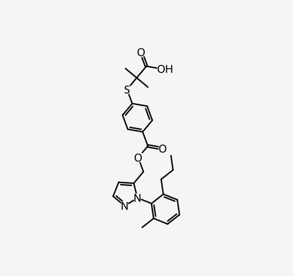 CCCc1cccc(C)c1-n1nccc1COC(=O)c1ccc(SC(C)(C)C(=O)O)cc1